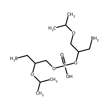 BCC(COP(=O)(O)OC(CB)COC(C)C)OC(C)C